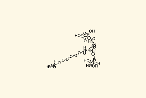 CC(C)(C)OC(=O)NCCOCCOCCOCCOCCOCCOCCC(=O)NCCCCC(C(=O)Nc1ccc(CCOC2O[C@H](CO)[C@@H](O)[C@H](O)[C@H]2O)cc1)n1cc(CNC(=O)c2ccc3c(c2)C(=O)OC32c3ccc(O)cc3Oc3cc(O)ccc32)nn1